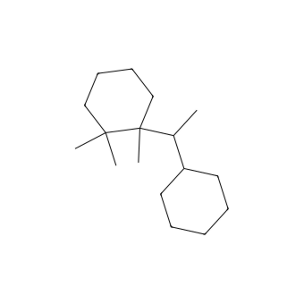 CC(C1CCCCC1)C1(C)CCCCC1(C)C